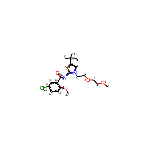 COCCOCCn1cc(C(C)(C)C)sc1=NC(=O)c1cc(Cl)ccc1OC